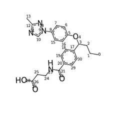 CCCC(Oc1ccc(-n2cnc(C)n2)cc1)c1ccc(C(=O)NCCC(=O)O)cc1